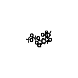 Cc1cc(=O)n(-c2cc(C(=O)OC(C)(C)C(=O)OC(C)(C)C)c(Cl)cc2F)c(=O)n1C